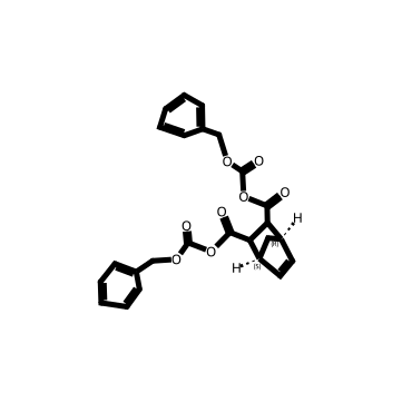 O=C(OCc1ccccc1)OC(=O)C1C(C(=O)OC(=O)OCc2ccccc2)[C@H]2C=C[C@@H]1C2